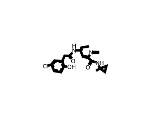 C=N/C(=C\C(=C/C)NC(=O)Cc1cc(Cl)ccc1O)C(=O)NC1(C)CC1